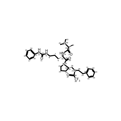 C[C@@H](C(=O)N[C@@H](CCCNC(=O)Nc1ccccc1)C(=O)N1CCC[C@H]1CN(CCc1ccccc1)C(=O)C(F)(F)F)N(C)C